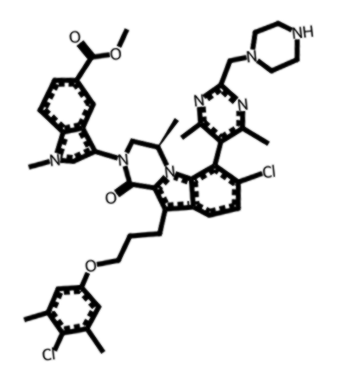 COC(=O)c1ccc2c(c1)c(N1C[C@@H](C)n3c(c(CCCOc4cc(C)c(Cl)c(C)c4)c4ccc(Cl)c(-c5c(C)nc(CN6CCNCC6)nc5C)c43)C1=O)cn2C